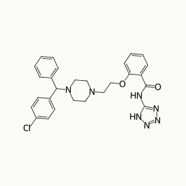 O=C(Nc1nnn[nH]1)c1ccccc1OCCN1CCN(C(c2ccccc2)c2ccc(Cl)cc2)CC1